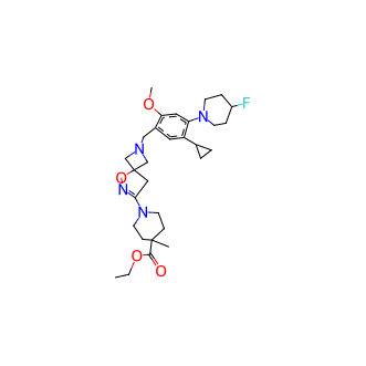 CCOC(=O)C1(C)CCN(C2=NOC3(C2)CN(Cc2cc(C4CC4)c(N4CCC(F)CC4)cc2OC)C3)CC1